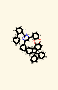 c1ccc(-c2cc(-c3cccc4c3Oc3c(ccc5c3-c3ccccc3C5(c3ccccc3)c3ccccc3)O4)nc(-c3ccccc3-c3ccccc3)n2)cc1